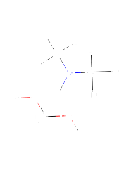 CCCN([Si](CC)(CC)CC)[Si](CC)(CC)CC.CCO[SiH2]OCC